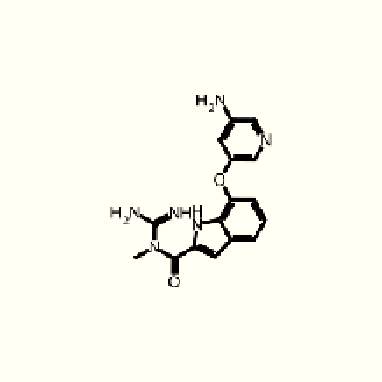 CN(C(=N)N)C(=O)c1cc2cccc(Oc3cncc(N)c3)c2[nH]1